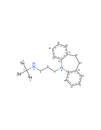 [2H]C([2H])([2H])NCCCN1c2ccccc2CCc2ccccc21